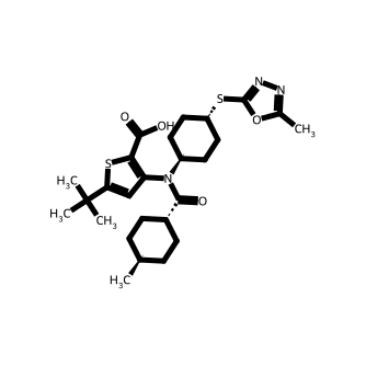 Cc1nnc(S[C@H]2CC[C@H](N(c3cc(C(C)(C)C)sc3C(=O)O)C(=O)[C@H]3CC[C@H](C)CC3)CC2)o1